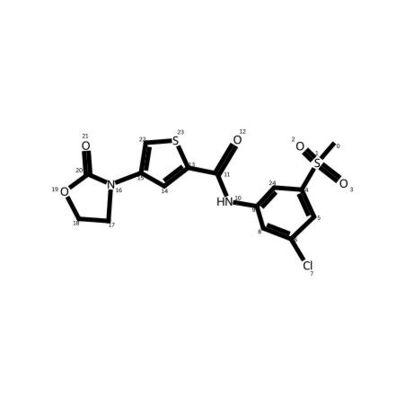 CS(=O)(=O)c1cc(Cl)cc(NC(=O)c2cc(N3CCOC3=O)cs2)c1